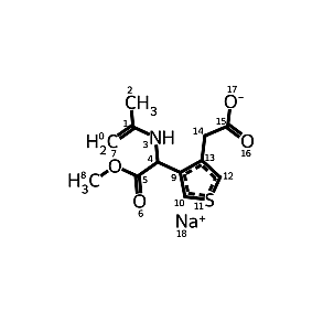 C=C(C)NC(C(=O)OC)c1cscc1CC(=O)[O-].[Na+]